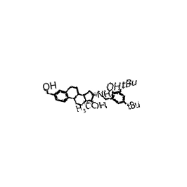 CC(C)(C)c1cc(CN[C@H]2CC3C4CCc5cc(CO)ccc5C4CC[C@]3(C)[C@@H]2O)c(O)c(C(C)(C)C)c1